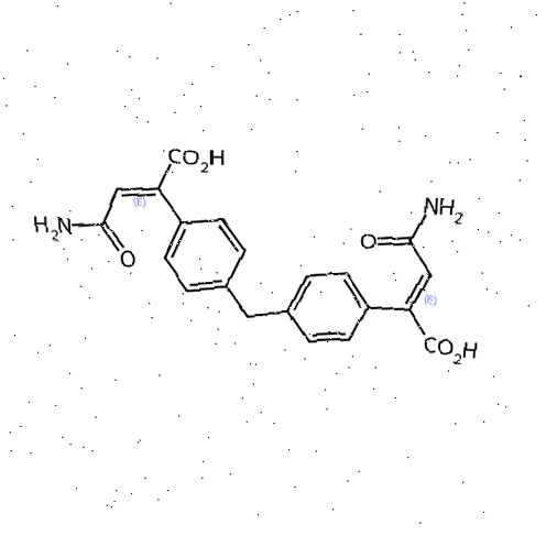 NC(=O)/C=C(/C(=O)O)c1ccc(Cc2ccc(/C(=C\C(N)=O)C(=O)O)cc2)cc1